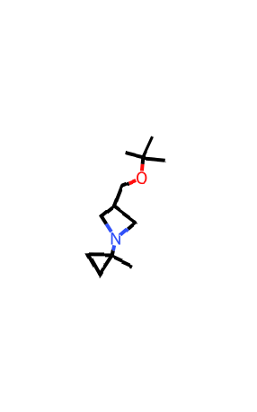 CC(C)(C)OCC1CN(C2(C)CC2)C1